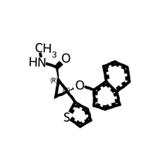 CNC(=O)[C@@H]1C[C@]1(Oc1cccc2ccccc12)c1cccs1